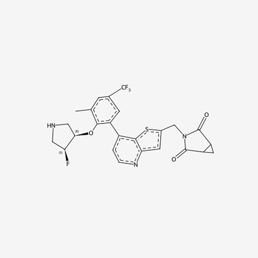 Cc1cc(C(F)(F)F)cc(-c2ccnc3cc(CN4C(=O)C5CC5C4=O)sc23)c1O[C@@H]1CNC[C@@H]1F